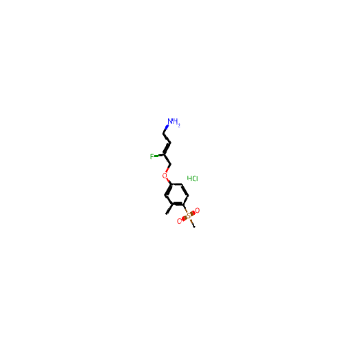 Cc1cc(OCC(F)=CCN)ccc1S(C)(=O)=O.Cl